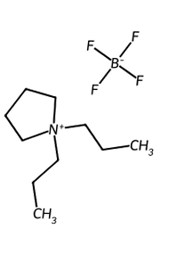 CCC[N+]1(CCC)CCCC1.F[B-](F)(F)F